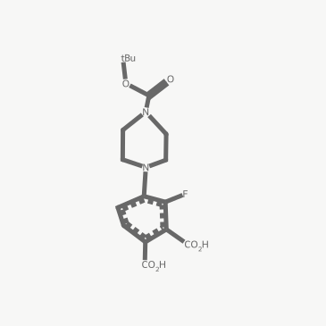 CC(C)(C)OC(=O)N1CCN(c2ccc(C(=O)O)c(C(=O)O)c2F)CC1